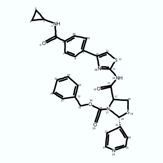 O=C(NC1CC1)c1ccc(-c2csc(NC(=O)C3CS[C@H](c4ccncc4)N3C(=O)OCc3ccccc3)n2)cc1